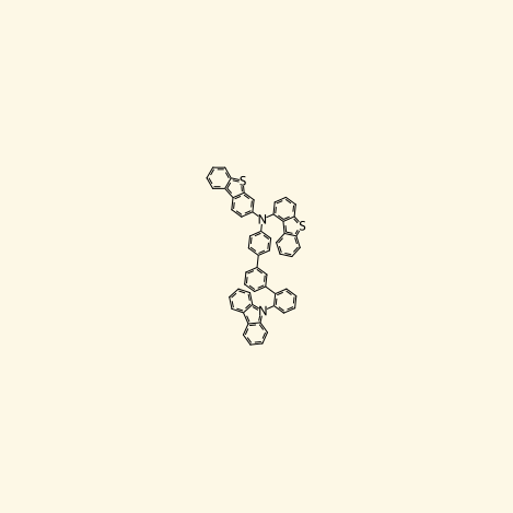 c1cc(-c2ccc(N(c3ccc4c(c3)sc3ccccc34)c3cccc4sc5ccccc5c34)cc2)cc(-c2ccccc2-n2c3ccccc3c3ccccc32)c1